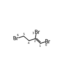 Br/C=C(\Br)CCBr